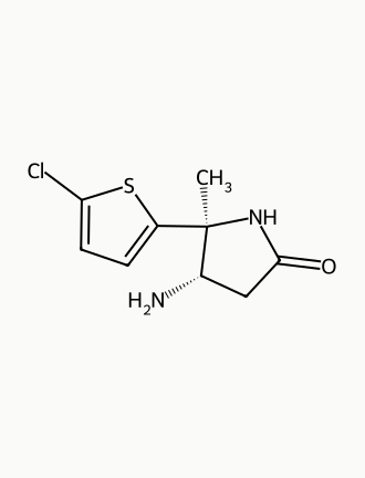 C[C@]1(c2ccc(Cl)s2)NC(=O)C[C@@H]1N